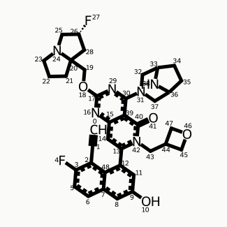 C#Cc1c(F)ccc2cc(O)cc(-c3cc4nc(OCC56CCCN5C[C@H](F)C6)nc(N5CC6CCC(C5)N6)c4c(=O)n3CC3COC3)c12